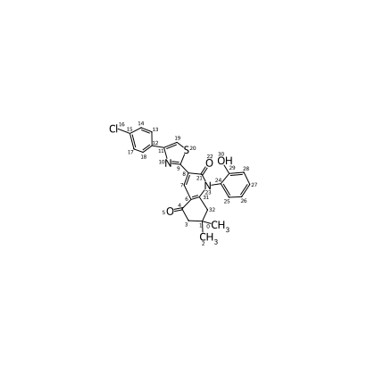 CC1(C)CC(=O)c2cc(-c3nc(-c4ccc(Cl)cc4)cs3)c(=O)n(-c3ccccc3O)c2C1